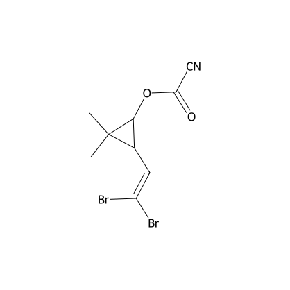 CC1(C)C(C=C(Br)Br)C1OC(=O)C#N